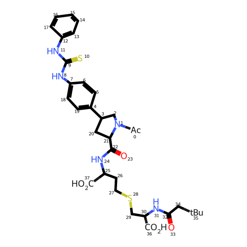 CC(=O)N1CC(c2ccc(NC(=S)Nc3ccccc3)cc2)CC1C(=O)NC(CCSCC(NC(=O)CC(C)(C)C)C(=O)O)C(=O)O